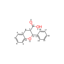 O=C(O)C1Cc2ccccc2OC1c1ccccc1